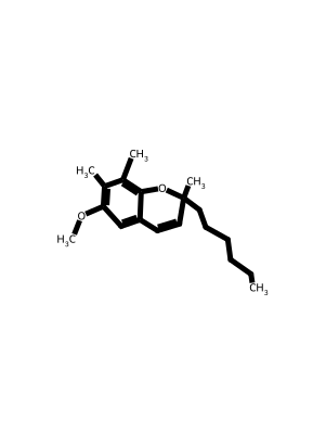 CCCCCCC1(C)C=Cc2cc(OC)c(C)c(C)c2O1